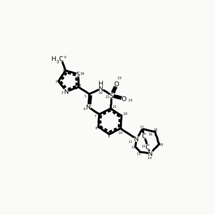 Cc1cnc(C2=Nc3ccc(N4CCN5CCC4CC5)cc3S(=O)(=O)N2)s1